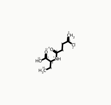 C=C(Cl)CCC(=O)NC(CC)C(=O)O